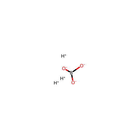 [H+].[H+].[H+].[O-]B([O-])[O-]